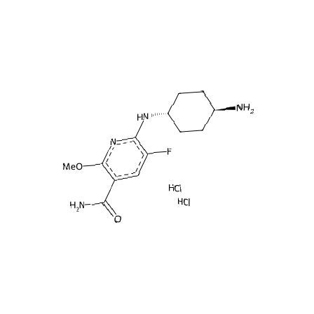 COc1nc(N[C@H]2CC[C@H](N)CC2)c(F)cc1C(N)=O.Cl.Cl